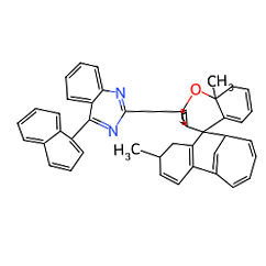 CC1C=CC2=C(C1)C1(C3=CC=CCC3(C)Oc3cc(-c4nc(-c5cccc6ccccc56)c5ccccc5n4)ccc31)C1C=CC=CC2=C1